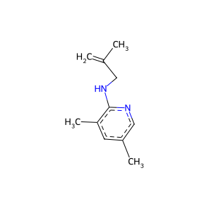 C=C(C)CNc1ncc(C)cc1C